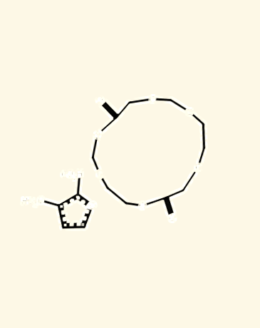 O=C(O)c1ccoc1C(=O)O.O=C1CCCCCCCCC(=O)OCCCCO1